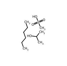 CC(C)O.CCCCCC.CS(=O)(=O)O